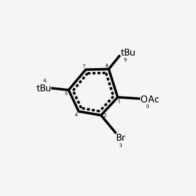 CC(=O)Oc1c(Br)cc(C(C)(C)C)cc1C(C)(C)C